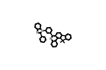 CC1(C)c2ccccc2-c2ccc3c(-c4cccc(-n5c(-c6ccccc6)nc6ccccc65)c4)nc4ccccc4c3c21